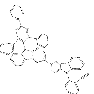 N#Cc1ccccc1-n1c2ccccc2c2cc(-c3ccc4c(c3)c3ccccc3n4-c3c(-c4ccccc4)nc(-c4ccccc4)nc3-c3ccccc3)ccc21